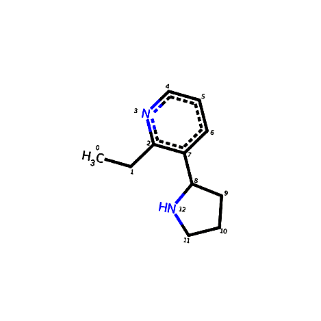 CCc1ncccc1C1CCCN1